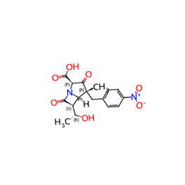 C[C@@H](O)[C@H]1C(=O)N2[C@@H](C(=O)O)C(=O)[C@](C)(Cc3ccc([N+](=O)[O-])cc3)[C@@H]12